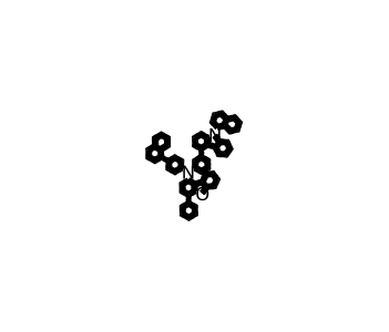 c1ccc(-c2ccc(N(c3ccc(-c4cccc5ccccc45)cc3)c3cccc(-c4cccc5c4c4ccccc4n5-c4cccc5ccccc45)c3)c3c2oc2ccccc23)cc1